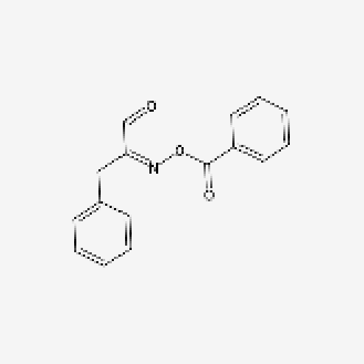 O=CC(Cc1ccccc1)=NOC(=O)c1ccccc1